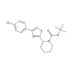 CC(C)(C)OC(=O)N1CCCCC1c1nc(-c2ccc(Cl)cc2)cs1